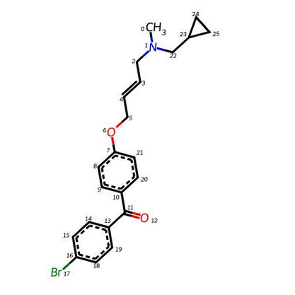 CN(C/C=C/COc1ccc(C(=O)c2ccc(Br)cc2)cc1)CC1CC1